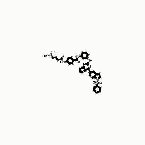 CN(C)C/C=C/C(=O)Nc1ccc(C(=O)Nc2cccc(Nc3nc(-c4cnc5c(ccn5S(=O)(=O)c5ccccc5)c4)c4sccc4n3)c2)cc1